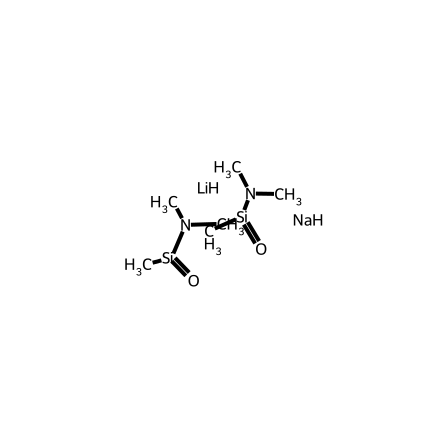 CN(C)[Si](C)=O.CN(C)[Si](C)=O.[LiH].[NaH]